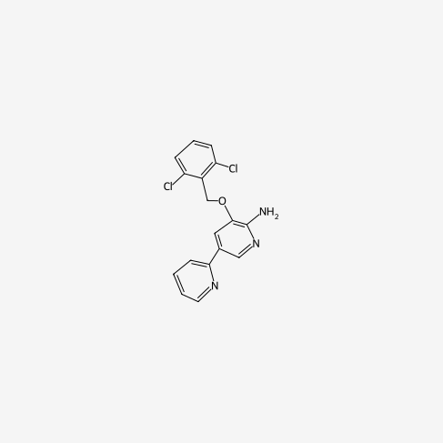 Nc1ncc(-c2ccccn2)cc1OCc1c(Cl)cccc1Cl